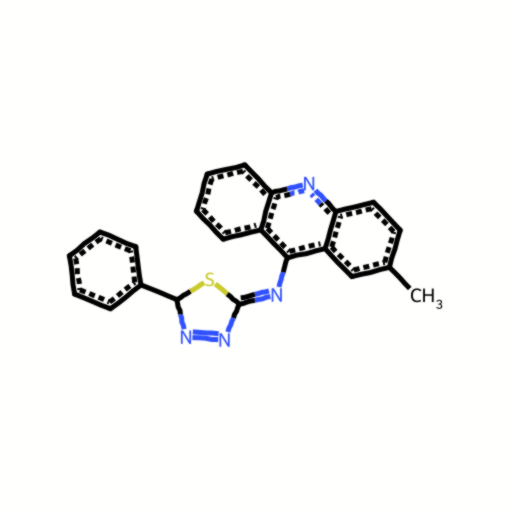 Cc1ccc2nc3ccccc3c(N=C3N=NC(c4ccccc4)S3)c2c1